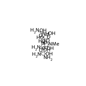 CNC1C(O[C@H]2OC(CO)[C@@H](NC(=O)[C@@H](O)CN)C(O)C2O)O[C@H]2CC(N)[C@@H](O[C@@H]3C(N)C[C@@H](N)C(O)[C@H]3O)OC2C1O